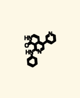 O=c1[nH]ccc2c(-c3cccnc3)cnc(Nc3ccccc3)c12